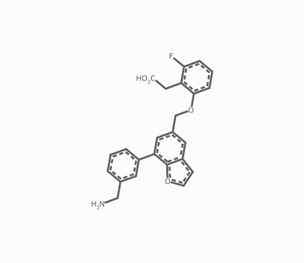 NCc1cccc(-c2cc(COc3cccc(F)c3CC(=O)O)cc3ccoc23)c1